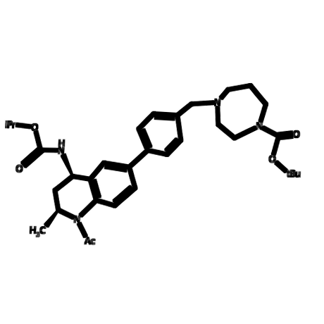 CC(=O)N1c2ccc(-c3ccc(CN4CCCN(C(=O)OC(C)(C)C)CC4)cc3)cc2[C@H](NC(=O)OC(C)C)C[C@@H]1C